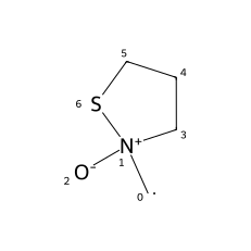 [CH2][N+]1([O-])CCCS1